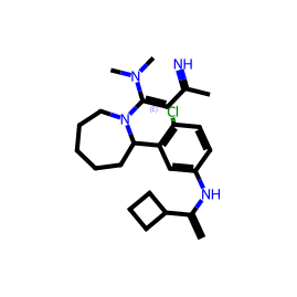 C=C(Nc1ccc(Cl)c(C2CCCCCN2/C(=C/C(C)=N)N(C)C)c1)C1CCC1